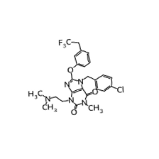 CN(C)CCn1c(=O)n(C)c(=O)c2c1nc(Oc1cccc(CC(F)(F)F)c1)n2Cc1ccc(Cl)cc1